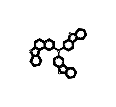 c1ccc2c(c1)oc1ccc(N(c3ccc4c(c3)sc3ccccc34)c3ccc4ccc5sc6ccccc6c5c4c3)cc12